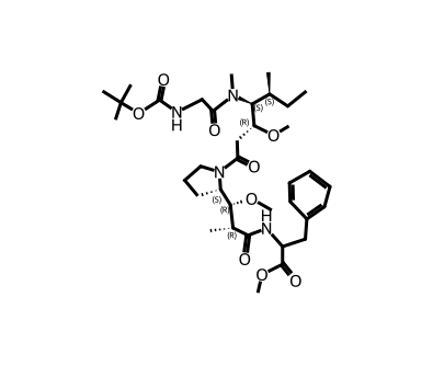 CC[C@H](C)[C@@H]([C@@H](CC(=O)N1CCC[C@H]1[C@H](OC)[C@@H](C)C(=O)NC(Cc1ccccc1)C(=O)OC)OC)N(C)C(=O)CNC(=O)OC(C)(C)C